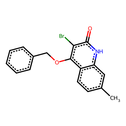 Cc1ccc2c(OCc3ccccc3)c(Br)c(=O)[nH]c2c1